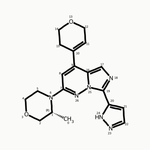 C[C@@H]1COCCN1c1cc(C2=CCOCC2)c2cnc(-c3ccn[nH]3)n2n1